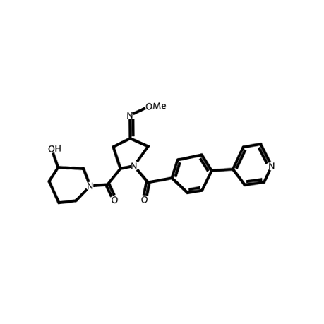 CON=C1CC(C(=O)N2CCCC(O)C2)N(C(=O)c2ccc(-c3ccncc3)cc2)C1